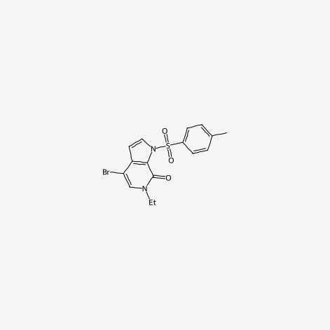 CCn1cc(Br)c2ccn(S(=O)(=O)c3ccc(C)cc3)c2c1=O